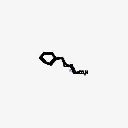 O=C(O)/C=N/OCc1ccccc1